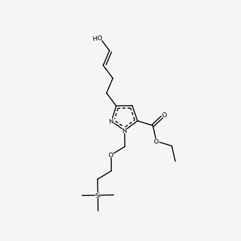 CCOC(=O)c1cc(CCC=CO)nn1COCC[Si](C)(C)C